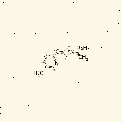 Cc1ccc(OC2CN(C(C)S)C2)nc1